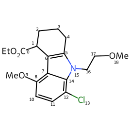 CCOC(=O)C1CCCc2c1c1c(OC)ccc(Cl)c1n2CCOC